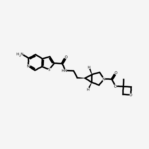 CC1(OC(=O)N2C[C@@H]3[C@@H](CCNC(=O)c4cc5cc(N)ncc5s4)[C@@H]3C2)COC1